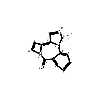 Cl.O=c1c2ccccc2n2c(c3ccn1-3)C=NC2